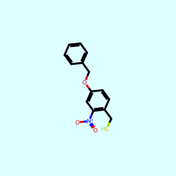 O=[N+]([O-])c1cc(OCc2ccccc2)ccc1CS